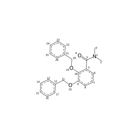 CN(C)C(=O)c1cccc(OCc2ccccc2)c1OCc1ccccc1